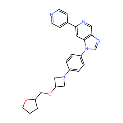 c1cc(-c2cc3c(cn2)ncn3-c2ccc(N3CC(OCC4CCCO4)C3)cc2)ccn1